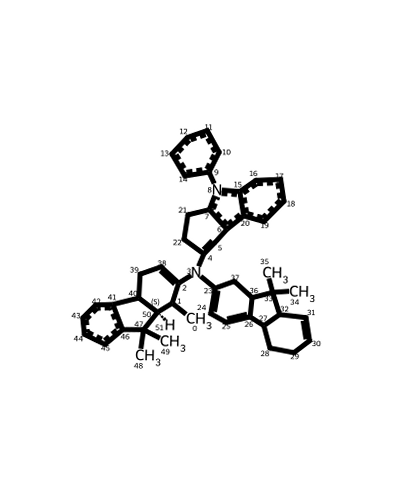 CC1C(N(C2=Cc3c(n(-c4ccccc4)c4ccccc34)CC2)C2=CC=C3C4CCC=CC4C(C)(C)C3C2)=CCC2c3ccccc3C(C)(C)[C@H]12